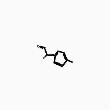 Cc1ccc(C(F)[C]=O)cc1